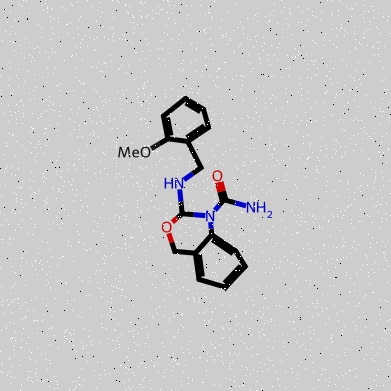 COc1ccccc1CNC1OCc2c[c]ccc2N1C(N)=O